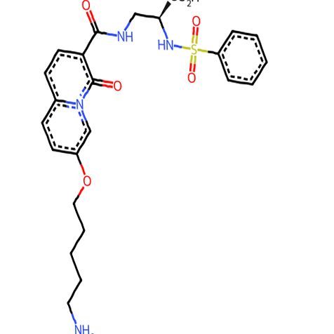 NCCCCCOc1ccc2ccc(C(=O)NC[C@H](NS(=O)(=O)c3ccccc3)C(=O)O)c(=O)n2c1